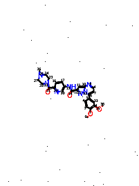 COc1ccc(-c2ccnc3cc(C(=O)Nc4ccc(C(=O)N5CCN(C)CC5)nc4)nn23)cc1OC